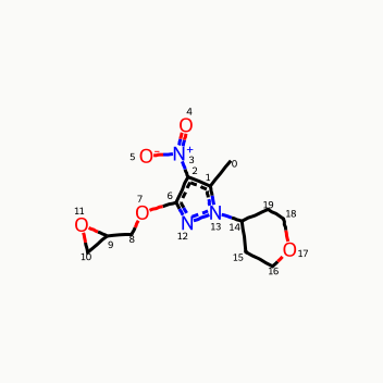 Cc1c([N+](=O)[O-])c(OCC2CO2)nn1C1CCOCC1